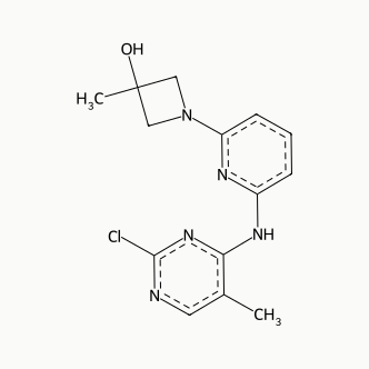 Cc1cnc(Cl)nc1Nc1cccc(N2CC(C)(O)C2)n1